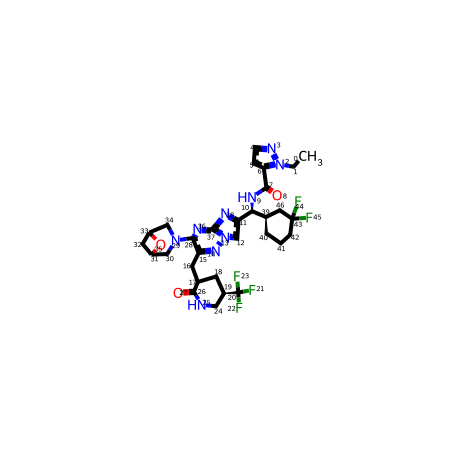 CCn1nccc1C(=O)N[C@H](c1cn2nc(CC3C[C@@H](C(F)(F)F)CNC3=O)c(N3CC4CC(C3)O4)nc2n1)[C@@H]1CCCC(F)(F)C1